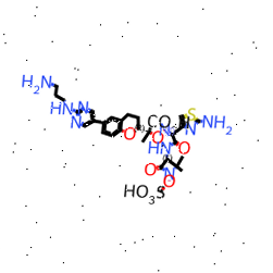 CC(O/N=C(\C(=O)N[C@@H]1C(=O)N(OS(=O)(=O)O)C1(C)C)c1csc(N)n1)(C(=O)O)[C@H]1CCc2cc(-c3cnc(NCCCN)nc3)ccc2O1